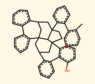 Cc1ccccc1-c1ccccc1C12CCC34CC(CC5(CC(C1)c1ccccc1-c1ccccc15)C23)c1ccccc1-c1c(O)cccc14